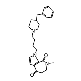 CN1CCC(=O)c2ccn(CCCCN3CCC(Cc4ccccc4)CC3)c2C1=O